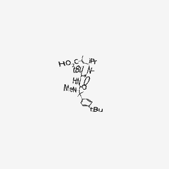 CN[C@H](C(=O)N[C@H](C(=O)N(C)[C@H](/C=C(\C)C(=O)O)C(C)C)C(C)(C)C)C(C)(C)c1ccc(C(C)(C)C)cc1